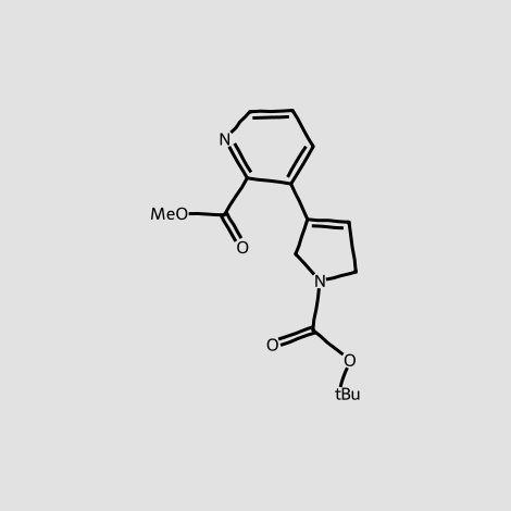 COC(=O)c1ncccc1C1=CCN(C(=O)OC(C)(C)C)C1